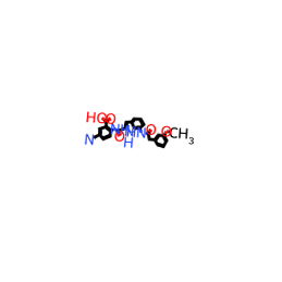 COc1cccc(CC(=O)Nc2cccc3cc(C(=O)Nc4ccc(C#N)cc4C(=O)O)[nH]c23)c1